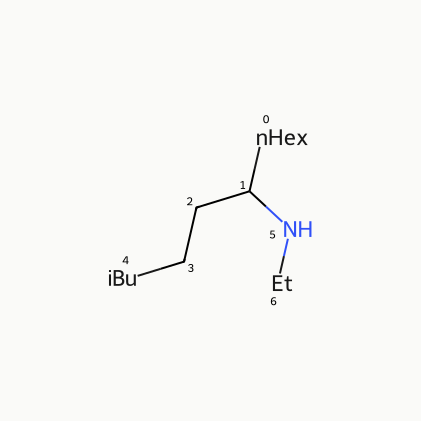 CCCCCCC(CCC(C)CC)NCC